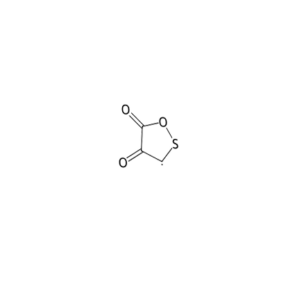 O=C1[CH]SOC1=O